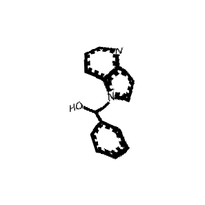 OC(c1ccccc1)n1ccc2ncccc21